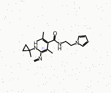 C=N/C(NC1(C)CC1)=C(\C)C(C(=O)NCCn1cccc1)=C(C)C